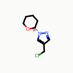 ClCc1cnn([C@H]2CCCCO2)c1